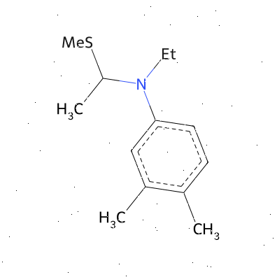 CCN(c1ccc(C)c(C)c1)C(C)SC